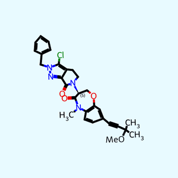 COC(C)(C)C#Cc1ccc2c(c1)OC[C@H](N1CCc3c(nn(Cc4ccccc4)c3Cl)C1=O)C(=O)N2C